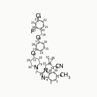 Cc1ccc2nc(CN3CCC(Oc4cccc(OCc5ccc(Cl)cc5F)c4)CC3)n(CC3(CC#N)CC3)c2c1